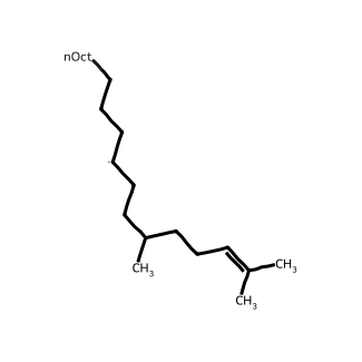 CCCCCCCCCCC[CH]CCC(C)CCC=C(C)C